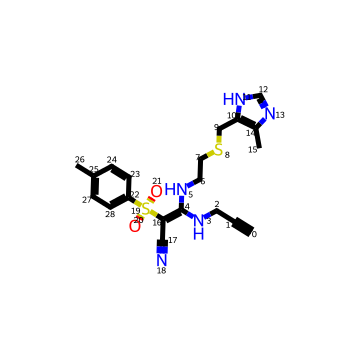 C#CCNC(NCCSCc1[nH]cnc1C)=C(C#N)S(=O)(=O)c1ccc(C)cc1